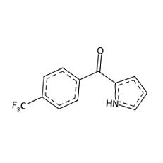 O=C(c1ccc(C(F)(F)F)cc1)c1ccc[nH]1